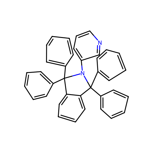 c1ccc(C2(c3ccccc3)c3ccccc3C(c3ccccc3)(c3ccccc3)N2c2cccnc2)cc1